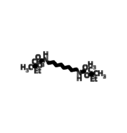 CCC(C)(C)OC(=O)NCCCCCCCCNC(=O)OC(C)(C)CC